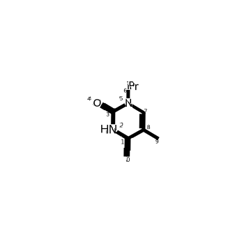 C=C1NC(=O)N(C(C)C)C=C1C